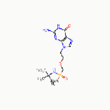 CCOC(=O)C(C)(C)NP(=O)(COCCn1cnc2c(=O)[nH]c(N)nc21)NC